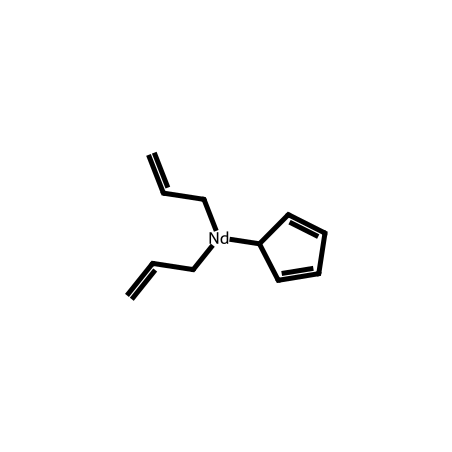 C=C[CH2][Nd]([CH2]C=C)[CH]1C=CC=C1